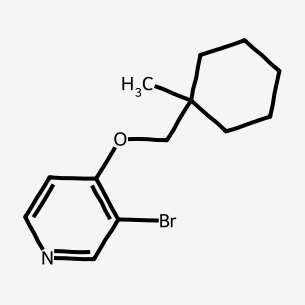 CC1(COc2ccncc2Br)CCCCC1